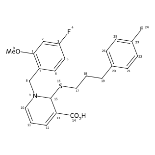 COc1cc(F)ccc1CN1C=CC=C(C(=O)O)C1SCCCc1ccc(F)cc1